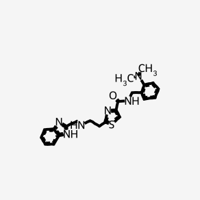 CN(C)c1ccccc1CNC(=O)c1csc(CCNCc2nc3ccccc3[nH]2)n1